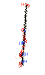 O=C(O)CCCCCCCCCCCCCCCCCCC(=O)NCCOCCOCC(=O)NCCOCCOCC(=O)N[C@@H](CCCCNC(=O)CBr)C(=O)O